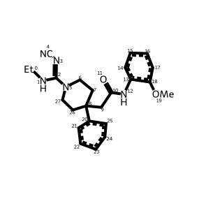 CCN/C(=N\C#N)N1CCC(CC(=O)Nc2ccccc2OC)(c2ccccc2)CC1